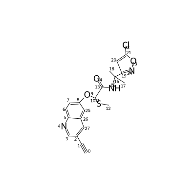 C#Cc1cnc2ccc(OC(SC)C(=O)NC(C)(C)c3cc(Cl)on3)cc2c1